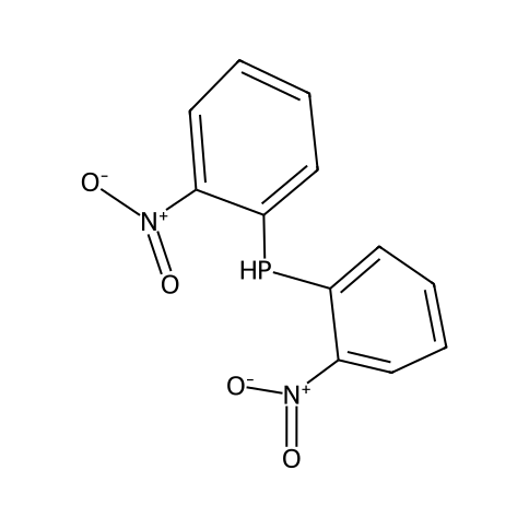 O=[N+]([O-])c1ccccc1Pc1ccccc1[N+](=O)[O-]